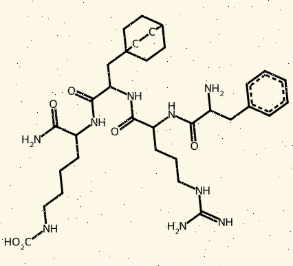 N=C(N)NCCCC(NC(=O)C(N)Cc1ccccc1)C(=O)NC(CC12CCC(CC1)CC2)C(=O)NC(CCCCNC(=O)O)C(N)=O